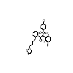 CC(c1ccccc1OCCCn1ccnn1)N(c1cc(F)ccc1F)S(=O)(=O)c1ccc(Cl)cc1